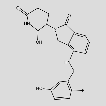 O=C1CCC(N2Cc3c(NCc4cc(O)ccc4F)cccc3C2=O)C(O)N1